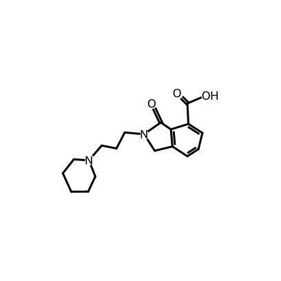 O=C(O)c1cccc2c1C(=O)N(CCCN1CCCCC1)C2